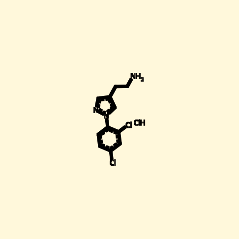 Cl.NCCc1cnn(-c2ccc(Cl)cc2Cl)c1